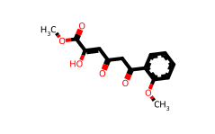 COC(=O)C(O)=CC(=O)CC(=O)c1ccccc1OC